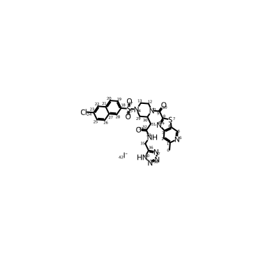 Cc1cc2c(cn1)SC(C(=O)N1CCN(S(=O)(=O)c3ccc4cc(Cl)ccc4c3)CC1CC(=O)NCc1nnn[nH]1)=[N+]2.[I-]